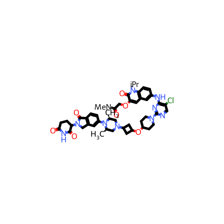 CNC(=O)COc1cc2cc(Nc3nc(N4CCC(OC5CC(N6C[C@@H](C)N(c7ccc8c(c7)CN(C7CCC(=O)NC7=O)C8=O)[C@H](C)C6)C5)CC4)ncc3Cl)ccc2n(C(C)C)c1=O